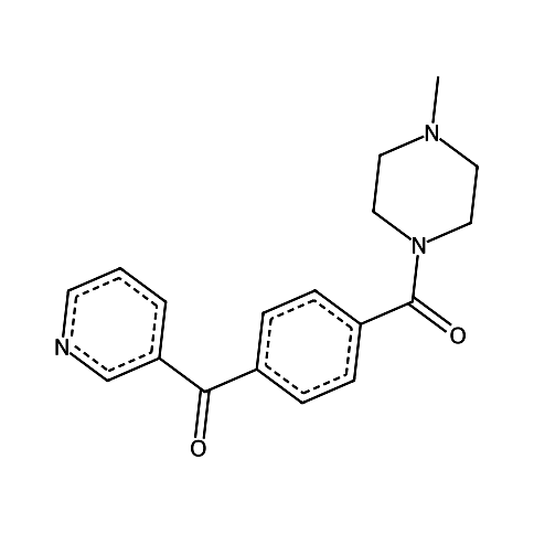 CN1CCN(C(=O)c2ccc(C(=O)c3cccnc3)cc2)CC1